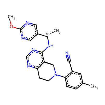 COc1ncc([C@H](C)Nc2ncnc3c2CN(c2ccc(C)cc2C#N)CC3)cn1